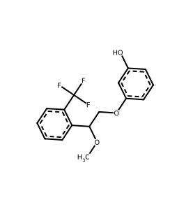 COC(COc1c[c]cc(O)c1)c1ccccc1C(F)(F)F